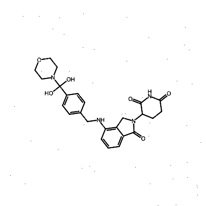 O=C1CCC(N2Cc3c(NCc4ccc(C(O)(O)N5CCOCC5)cc4)cccc3C2=O)C(=O)N1